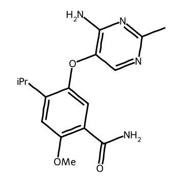 COc1cc(C(C)C)c(Oc2cnc(C)nc2N)cc1C(N)=O